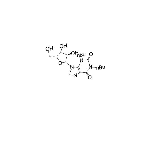 CCCCn1c(=O)c2ncn(C3O[C@H](CO)[C@@H](O)[C@H]3O)c2n(CCCC)c1=O